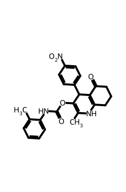 CC1=C(OC(=O)Nc2ccccc2C)C(c2ccc([N+](=O)[O-])cc2)C2=C(CCCC2=O)N1